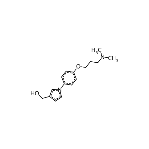 CN(C)CCCOc1ccc(-n2ccc(CO)c2)cc1